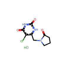 Cl.O=C1CCCN1Cc1[nH]c(=O)[nH]c(=O)c1Cl